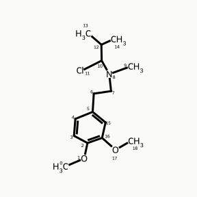 COc1ccc(CCN(C)C(Cl)C(C)C)cc1OC